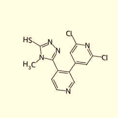 Cn1c(S)nnc1-c1ccncc1-c1cc(Cl)nc(Cl)c1